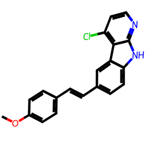 COc1ccc(C=Cc2ccc3[nH]c4nccc(Cl)c4c3c2)cc1